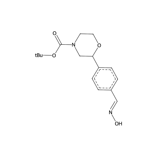 CC(C)(C)OC(=O)N1CCOC(c2ccc(C=NO)cc2)C1